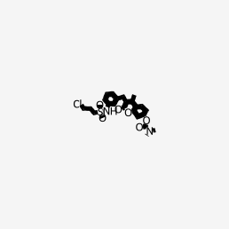 Cc1c(Cc2cccc(NS(=O)(=O)CCCCl)c2)c(=O)oc2cc(OC(=O)N(C)C)ccc12